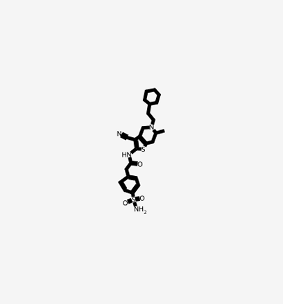 CC1Cc2sc(NC(=O)Cc3ccc(S(N)(=O)=O)cc3)c(C#N)c2CN1CCC1CCCCC1